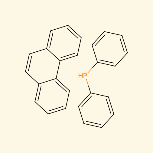 c1ccc(Pc2ccccc2)cc1.c1ccc2c(c1)ccc1ccccc12